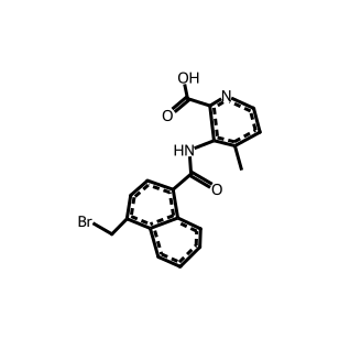 Cc1ccnc(C(=O)O)c1NC(=O)c1ccc(CBr)c2ccccc12